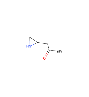 CCCC(=O)CC1CN1